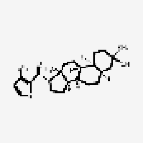 Cc1ccsc1C(=O)[C@H]1CC[C@H]2[C@@H]3CC[C@@H]4C[C@](C)(O)CC[C@@H]4[C@H]3CC[C@]12C